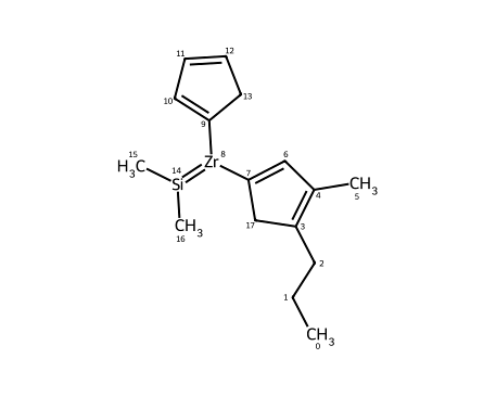 CCCC1=C(C)C=[C]([Zr]([C]2=CC=CC2)=[Si](C)C)C1